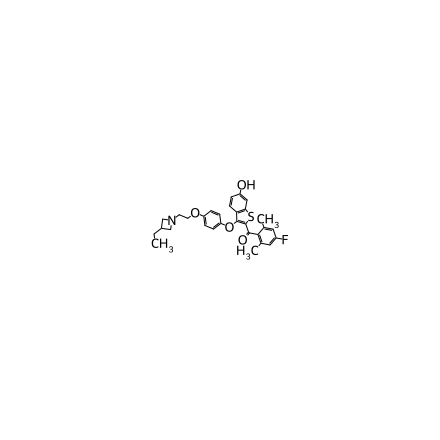 CCC1CN(CCOc2ccc(Oc3c(C(=O)c4c(C)cc(F)cc4C)sc4cc(O)ccc34)cc2)C1